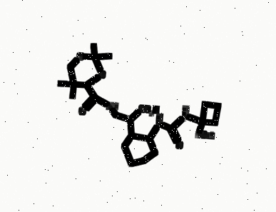 CCCCCCCCC1(NC(=O)NC2CCCCC2C(CNC(=O)C2OC(C)(C)OCC2(C)C)C(=O)O)CCC1